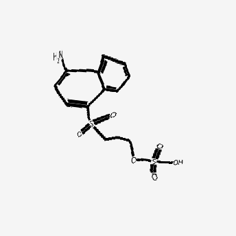 Nc1ccc(S(=O)(=O)CCOS(=O)(=O)O)c2ccccc12